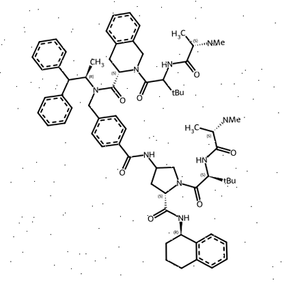 CN[C@@H](C)C(=O)NC(C(=O)N1Cc2ccccc2C[C@H]1C(=O)N(Cc1ccc(C(=O)NC2C[C@@H](C(=O)N[C@@H]3CCCc4ccccc43)N(C(=O)[C@@H](NC(=O)[C@H](C)NC)C(C)(C)C)C2)cc1)[C@H](C)C(c1ccccc1)c1ccccc1)C(C)(C)C